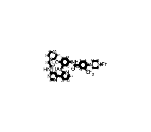 CCN1CCN(c2ccc(C(=O)Nc3ccc(C)c([AsH]c4ncccc4-c4cc(NCCN5CCOCC5)ncn4)c3)cc2C(F)(F)F)CC1